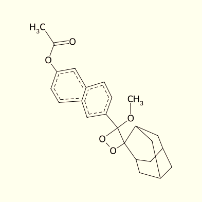 COC1(c2ccc3cc(OC(C)=O)ccc3c2)OOC12C1CC3CC(C1)CC2C3